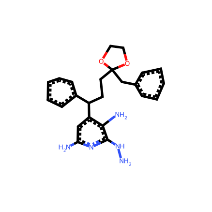 NNc1nc(N)cc(C(CCC2(Cc3ccccc3)OCCO2)c2ccccc2)c1N